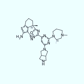 C[C@H]1CN(C)CCCN1c1nc(-c2noc([C@@]3(C)CCCc4sc(N)c(C#N)c43)n2)cc(N2CC3CNCC3C2)n1